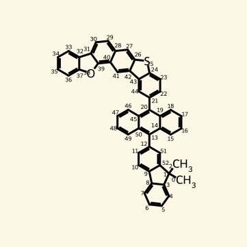 CC1(C)c2ccccc2-c2ccc(-c3c4ccccc4c(-c4ccc5sc6cc7ccc8c9ccccc9oc8c7cc6c5c4)c4ccccc34)cc21